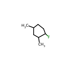 [CH2]C1CCC(F)C(C)C1